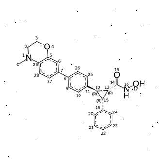 CN1CCOc2cc(-c3ccc([C@H]4[C@H](C(=O)NO)[C@@H]4c4ccccc4)cc3)ccc21